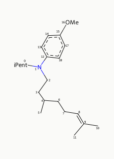 CCCC(C)N(CCC(C)CCC=C(C)C)c1ccc(OC)cc1